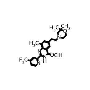 Cc1cc(CCN2CCOC(C)(C)C2)cc2c(=O)[nH]c(-c3cc(C(F)(F)F)ccn3)nc12.Cl